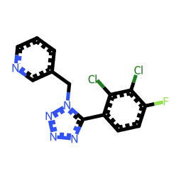 Fc1ccc(-c2nnnn2Cc2cccnc2)c(Cl)c1Cl